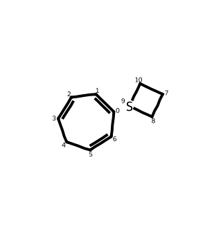 C1=CC=CCC=C1.C1CSC1